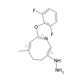 C/C1=C/C(Oc2c(F)cccc2F)=N\C=C(\NN)CC1